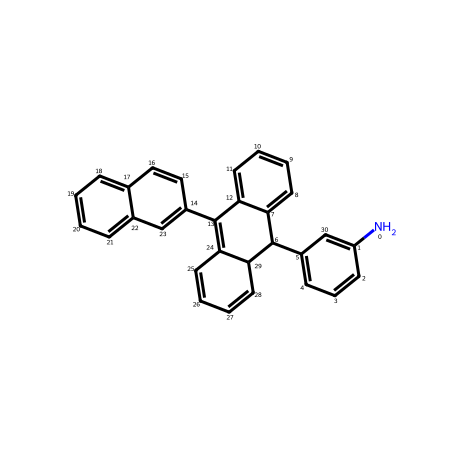 Nc1cccc(C2c3ccccc3C(c3ccc4ccccc4c3)=C3C=CC=CC32)c1